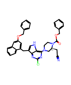 N#CC[C@H]1CN(c2nc(Cl)nc3c(Cc4cc(OCc5ccccc5)cc5ccccc45)c[nH]c23)CCN1C(=O)OCc1ccccc1